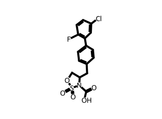 O=C(O)N1C(Cc2ccc(-c3cc(Cl)ccc3F)cc2)COS1(=O)=O